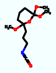 COC1(CCCN=C=O)CCC[Si](OC)(OC)O1